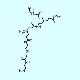 COC(=O)CCC(CCNC(=O)CCN(C)CCC(=O)NCCNCCC(=O)NCCN)CCC(=O)NCCN